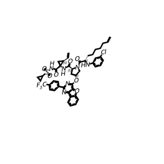 C=CCCCCC[C@H](Nc1cccc(Cl)c1)C(=O)N1C[C@H](Oc2nc(-c3ccc(C(F)(F)F)cc3)nc3c2oc2ccccc23)C[C@H]1C(=O)N[C@]1(C(=O)NS(=O)(=O)C2CC2)C[C@H]1C=C